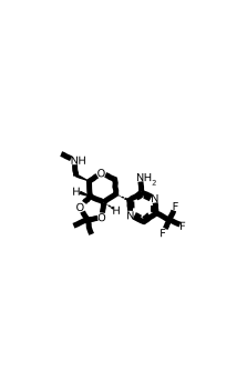 CNC[C@H]1OC[C@H](c2ncc(C(F)(F)F)nc2N)[C@H]2OC(C)(C)O[C@@H]21